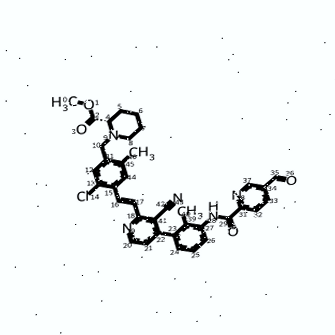 COC(=O)[C@@H]1CCCCN1Cc1cc(Cl)c(/C=C/c2nccc(-c3cccc(NC(=O)c4ccc(C=O)cn4)c3C)c2C#N)cc1C